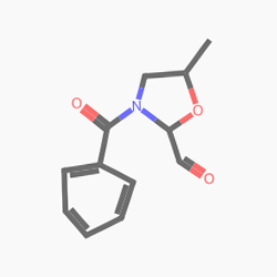 CC1CN(C(=O)c2ccccc2)C(C=O)O1